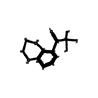 CC(C)(C)C(=O)c1cccc2c1OCCO2